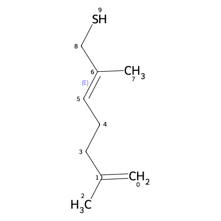 C=C(C)CC/C=C(\C)CS